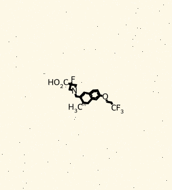 C[C@H]1Cc2cc(OCCC(F)(F)F)ccc2C=C1CN1CC(F)(C(=O)O)C1